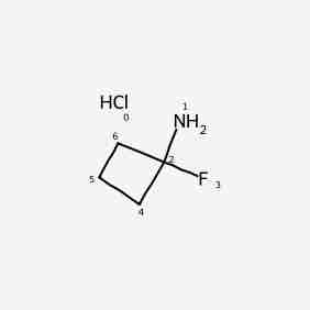 Cl.NC1(F)CCC1